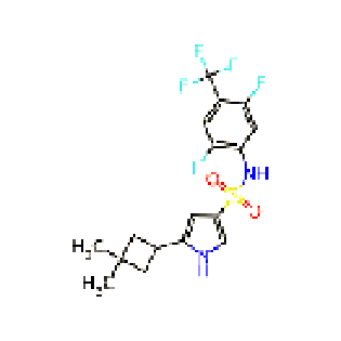 CC1(C)CC(c2cc(S(=O)(=O)Nc3cc(F)c(C(F)(F)F)cc3F)c[nH]2)C1